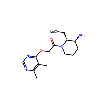 COC[C@H]1[C@@H](N)CCCN1C(=O)COc1ncnc(C)c1C